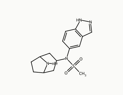 CCCN1C2CCC1CC(N(c1ccc3[nH]ncc3c1)S(C)(=O)=O)C2